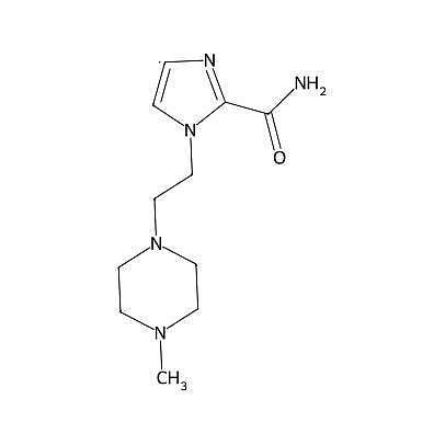 CN1CCN(CCn2c[c]nc2C(N)=O)CC1